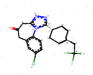 O=C1Cc2cc(Cl)ccc2-n2c(nnc2[C@H]2CC[C@H](CC(F)(F)F)CC2)C1